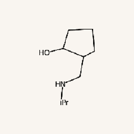 CC(C)NCC1CCCC1O